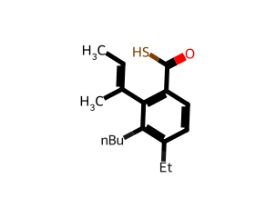 C/C=C(\C)c1c(C(=O)S)ccc(CC)c1CCCC